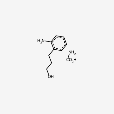 NC(=O)O.Nc1ccccc1CCCO